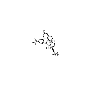 CC(C)N(C)c1ccc([C@H]2C[C@@]3(C)C(CC[C@@]3(O)C#CC3(C)COC3)[C@@H]3CCC4=CC(=O)CCC4=C32)cc1